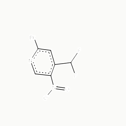 O=[N+]([O-])c1cnc(Br)cc1C(F)F